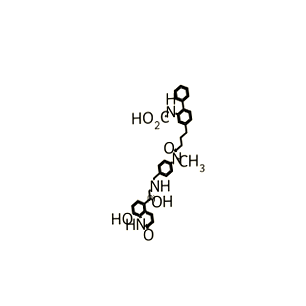 CN(C(=O)CCCc1ccc(-c2ccccc2)c(NC(=O)O)c1)c1ccc(CNC[C@H](O)c2ccc(O)c3[nH]c(=O)ccc23)cc1